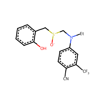 CCN(C[S+]([O-])Cc1ccccc1O)c1ccc(C#N)c(C(F)(F)F)c1